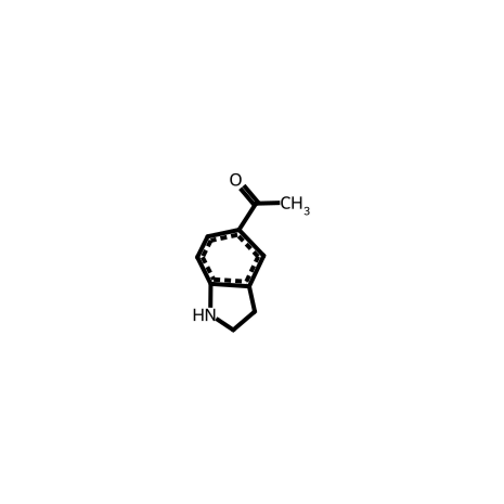 CC(=O)c1ccc2c(c1)CCN2